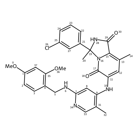 COc1ccc(CNc2cc(Nc3cc(C)c4n(c3=O)C(C)(c3cccc(Cl)c3)NC4=O)c(C)cn2)c(OC)c1